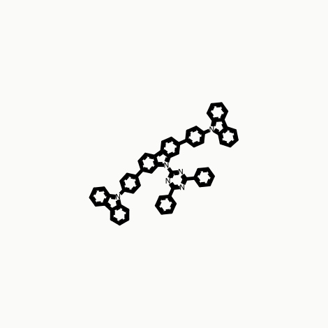 c1ccc(-c2nc(-c3ccccc3)nc(-n3c4cc(-c5ccc(-n6c7ccccc7c7ccccc76)cc5)ccc4c4ccc(-c5ccc(-n6c7ccccc7c7ccccc76)cc5)cc43)n2)cc1